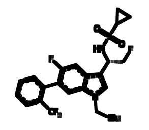 CC(C)(C)Cn1cc([C@@H](CF)NS(=O)(=O)C2CC2)c2cc(F)c(-c3ccccc3C(F)(F)F)cc21